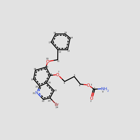 NC(=O)OCCCOc1c(OCc2ccccc2)ccc2ncc(Br)cc12